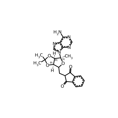 CC1(C)O[C@@H]2C(CC3C(=O)c4ccccc4C3=O)O[C@](C)(n3cnc4c(N)ncnc43)[C@@H]2O1